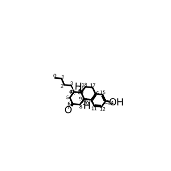 CCCC[C@@H]1CC(=O)C[C@@H]2c3ccc(O)cc3CC[C@@H]12